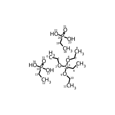 CCO[Si](CC)(OCC)OCC.CCP(=O)(O)O.CCP(=O)(O)O